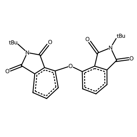 CC(C)(C)N1C(=O)c2cccc(Oc3cccc4c3C(=O)N(C(C)(C)C)C4=O)c2C1=O